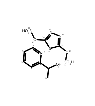 CC(O)c1ccccn1.O=S(=O)(O)Oc1nnc(OS(=O)(=O)O)s1